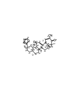 CC1(C)C(=O)C(C#N)=C[C@]2(C)C3=CC(=O)[C@@H]4C5C[C@@](C)(c6nnco6)CC[C@]5(C)CC[C@@]4(C)[C@]3(C)CC[C@@H]12